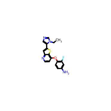 CCn1cncc1-c1cc2nccc(Oc3ccc(N)cc3F)c2s1